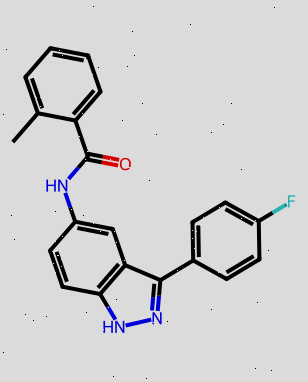 Cc1ccccc1C(=O)Nc1ccc2[nH]nc(-c3ccc(F)cc3)c2c1